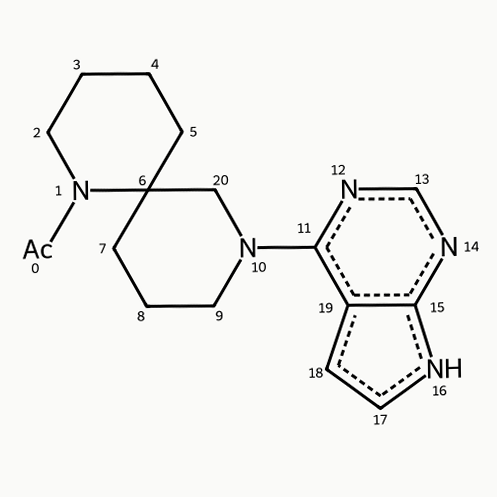 CC(=O)N1CCCCC12CCCN(c1ncnc3[nH]ccc13)C2